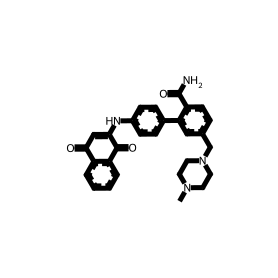 CN1CCN(Cc2ccc(C(N)=O)c(-c3ccc(NC4=CC(=O)c5ccccc5C4=O)cc3)c2)CC1